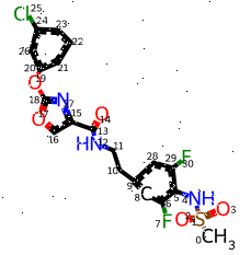 CS(=O)(=O)Nc1c(F)cc(CCNC(=O)c2coc(Oc3cccc(Cl)c3)n2)cc1F